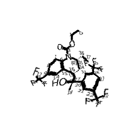 CCOC(=O)N1c2ccc(C(F)(F)F)cc2[C@@H]([C@@](C)(O)c2cc(C(F)(F)F)cc(C(F)(F)F)c2)C[C@H]1CC